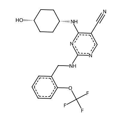 N#Cc1cnc(NCc2ccccc2OC(F)(F)F)nc1N[C@H]1CC[C@@H](O)CC1